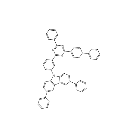 C1=CC(c2ccccc2)CC=C1c1nc(-c2ccccc2)nc(-c2cccc(-n3c4ccc(-c5ccccc5)cc4c4cc(-c5ccccc5)ccc43)c2)n1